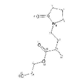 CC(CCN1CCCC1=O)C(=O)OCCO